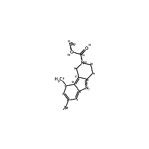 CC1C=C(Br)C=C2N=C3CCN(C(=O)OC(C)(C)C)CC3=C21